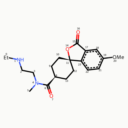 CCNCCN(C)C(=O)[C@H]1CC[C@@]2(CC1)OC(=O)c1cc(OC)ccc12